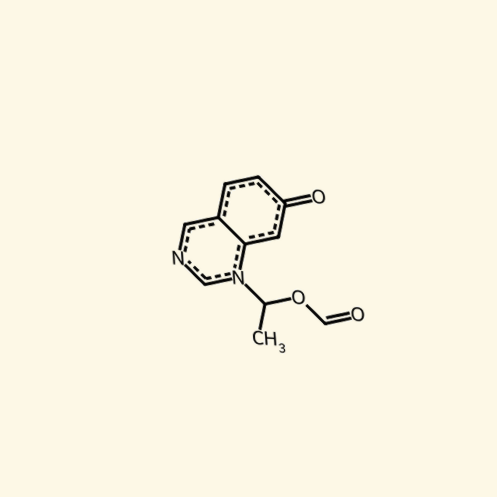 CC(OC=O)n1cncc2ccc(=O)cc1-2